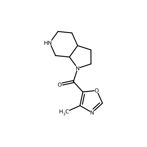 Cc1ncoc1C(=O)N1CCC2CCNCC21